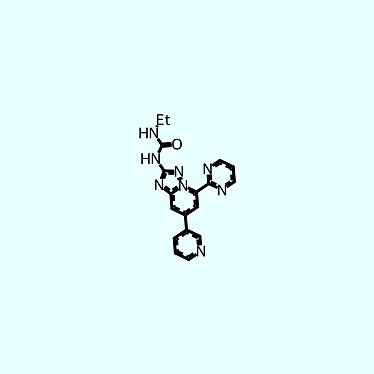 CCNC(=O)Nc1nc2cc(-c3cccnc3)cc(-c3ncccn3)n2n1